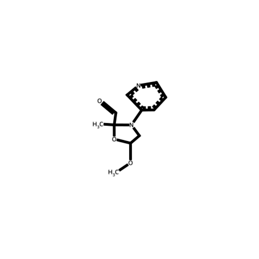 COC1CN(c2cccnc2)C(C)(C=O)O1